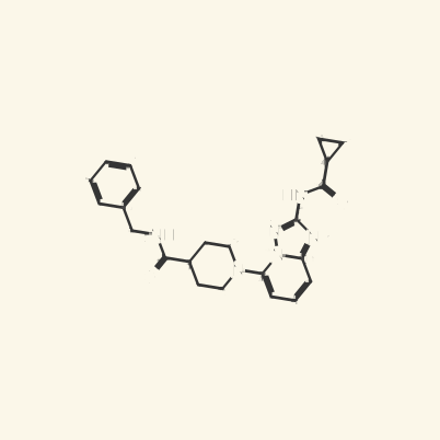 O=C(NCc1ccccc1)C1CCN(c2cccc3nc(NC(=O)C4CC4)nn23)CC1